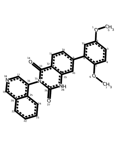 COc1ccc(OC)c(-c2ccc3c(=O)n(-c4cncc5ccccc45)c(=O)[nH]c3c2)c1